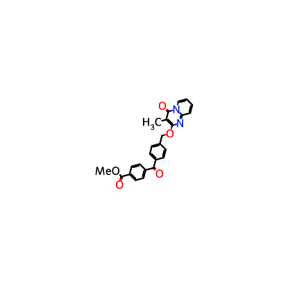 COC(=O)c1ccc(C(=O)c2ccc(COc3nc4ccccn4c(=O)c3C)cc2)cc1